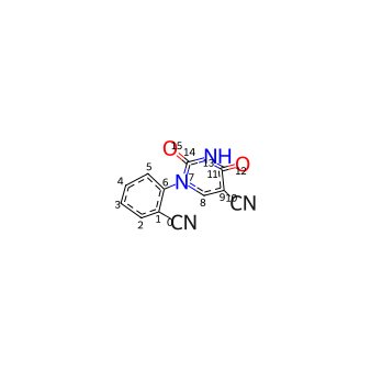 N#Cc1ccccc1-n1cc(C#N)c(=O)[nH]c1=O